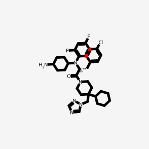 NC1CCC(N(c2ccc(F)cc2F)[C@H](Cc2ccc(Cl)cc2)C(=O)N2CCC(Cn3cncn3)(C3CCCCC3)CC2)CC1